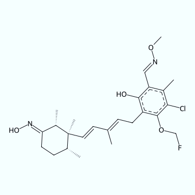 CO/N=C/c1c(C)c(Cl)c(OCF)c(C/C=C(C)/C=C/[C@@]2(C)[C@H](C)CC/C(=N\O)[C@@H]2C)c1O